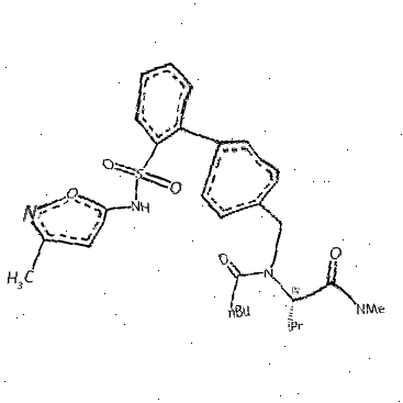 CCCCC(=O)N(Cc1ccc(-c2ccccc2S(=O)(=O)Nc2cc(C)no2)cc1)[C@H](C(=O)NC)C(C)C